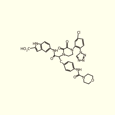 O=C(O)c1cc2cc(NC(=O)C(Cc3ccc(NC(=O)N4CCOCC4)cc3)N3CCN(c4cc(Cl)ccc4-n4cnnn4)C(=O)C3=O)ccc2[nH]1